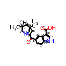 CC1(C)CN2CC(C)(CC2C(=O)c2ccc3[nH]cc(C(=O)O)c3c2)C1